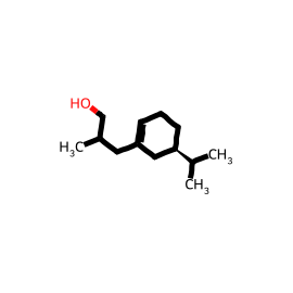 CC(CO)CC1=CCC[C@@H](C(C)C)C1